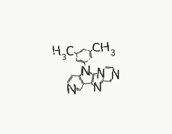 Cc1cc(C)cc(-n2c3ccncc3c3nc4cnccn4c32)c1